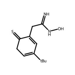 CC(C)(C)C1=CCC(=S)C(CC(=N)NO)=C1